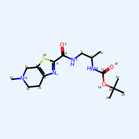 CC(CNC(=O)c1nc2c(s1)CN(C)CC2)NC(=O)OC(C)(C)C